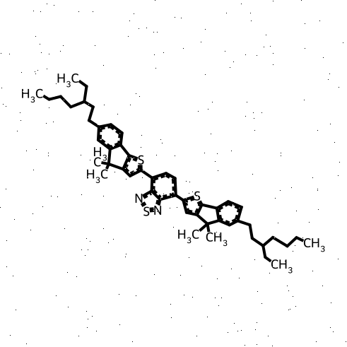 CCCCC(CC)CCc1ccc2c(c1)C(C)(C)c1cc(-c3ccc(-c4cc5c(s4)-c4ccc(CCC(CC)CCCC)cc4C5(C)C)c4nsnc34)sc1-2